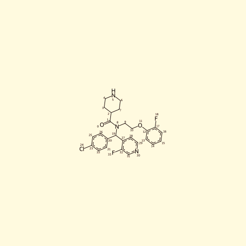 O=C(C1CCNCC1)N(CCOc1ccccc1F)C(c1ccc(Cl)cc1)c1ccncc1F